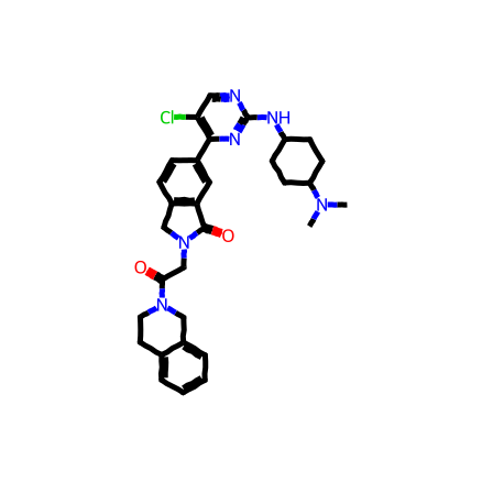 CN(C)C1CCC(Nc2ncc(Cl)c(-c3ccc4c(c3)C(=O)N(CC(=O)N3CCc5ccccc5C3)C4)n2)CC1